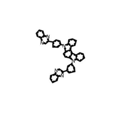 c1cc(-c2cnc3ccccc3n2)cc(-n2c3ccccc3c3c4c5ccccc5n(-c5ccc(-c6cnc7ccccc7n6)cc5)c4ccc32)c1